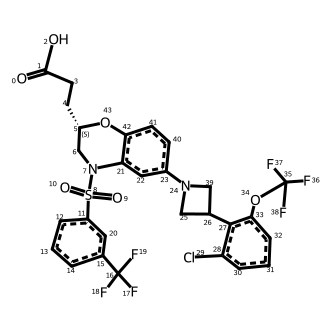 O=C(O)CC[C@H]1CN(S(=O)(=O)c2cccc(C(F)(F)F)c2)c2cc(N3CC(c4c(Cl)cccc4OC(F)(F)F)C3)ccc2O1